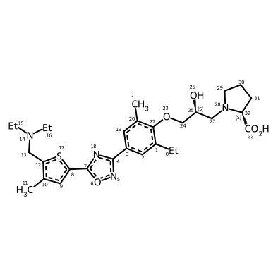 CCc1cc(-c2noc(-c3cc(C)c(CN(CC)CC)s3)n2)cc(C)c1OC[C@@H](O)CN1CCC[C@H]1C(=O)O